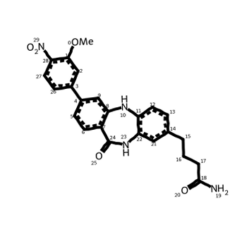 COc1cc(-c2ccc3c(c2)Nc2ccc(CCCC(N)=O)cc2NC3=O)ccc1[N+](=O)[O-]